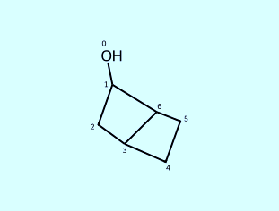 OC1CC2CCC12